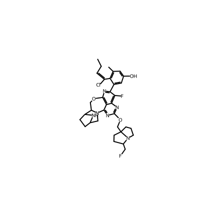 CC/C=C(/Cl)c1c(C)cc(O)cc1-c1nc2c3c(nc(OCC45CCCN4C(CF)CC5)nc3c1F)N1CC3CCC(N3)C1CO2